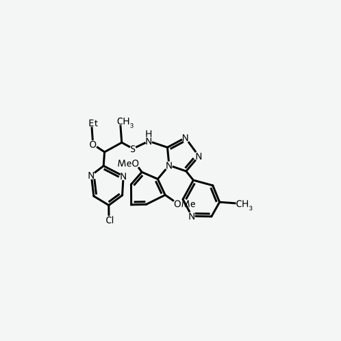 CCOC(c1ncc(Cl)cn1)C(C)SNc1nnc(-c2cncc(C)c2)n1-c1c(OC)cccc1OC